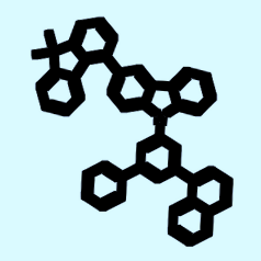 CC1(C)c2ccccc2-c2c(-c3ccc4c(c3)c3ccccc3n4-c3cc(-c4ccccc4)cc(-c4cccc5ccccc45)c3)cccc21